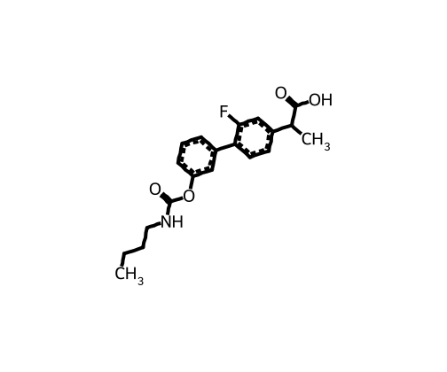 CCCCNC(=O)Oc1cccc(-c2ccc(C(C)C(=O)O)cc2F)c1